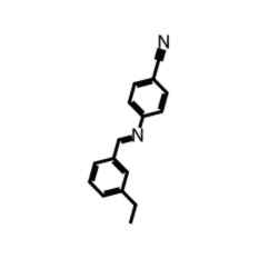 CCc1cccc(C=Nc2ccc(C#N)cc2)c1